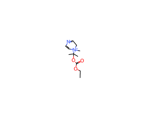 CCOC(=O)OC(C)(C)[N+]1(C)C=CN=CC1